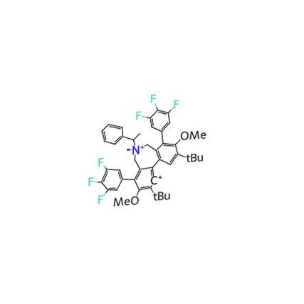 COC1=C(C(C)(C)C)[C+]=C2C(=C1c1cc(F)c(F)c(F)c1)C[N@+](C)(C(C)c1ccccc1)Cc1c2cc(C(C)(C)C)c(OC)c1-c1cc(F)c(F)c(F)c1